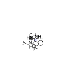 CN/C(C)=C(\C(=O)NCC1CC1)C1=C(C)CCCC1